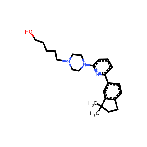 CC1(C)CCc2ccc(-c3cccc(N4CCN(CCCCCO)CC4)n3)cc21